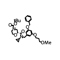 COCCCOc1cc(CN(C(=O)[C@H]2CN(C(=O)OC(C)(C)C)CCO2)C2CC2)cc(OCc2ccccc2)c1